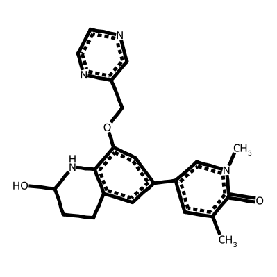 Cc1cc(-c2cc3c(c(OCc4cnccn4)c2)NC(O)CC3)cn(C)c1=O